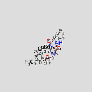 CCCCN1C(=O)C(CC2CCCCC2)NC(=O)C12CCN(Cc1ccc(-c3cc(CC(F)(F)F)cc(CC(F)(F)F)c3)o1)CC2